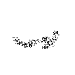 Cc1ncsc1-c1ccc(CNC(=O)[C@@H]2C[C@@H](O)CN2C(=O)C(NC(=O)CCCCN2CCC(C(=O)Nc3ncc(SCc4ncc(C(C)(C)C)o4)s3)CC2)C(C)(C)C)cc1